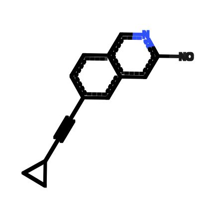 O=Nc1cc2cc(C#CC3CC3)ccc2cn1